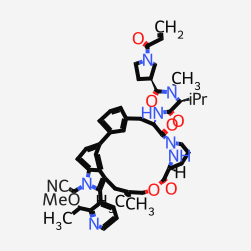 C=CC(=O)N1CC[C@H](C(=O)N(C)[C@H](C(=O)N[C@H]2Cc3cccc(c3)-c3ccc4c(c3)c(c(-c3cccnc3[C@H](C)OC)n4CC#N)CC(C)(C)COC(=O)[C@@H]3CCCN(N3)C2=O)C(C)C)C1